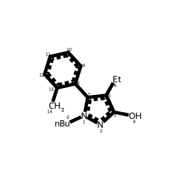 CCCCn1nc(O)c(CC)c1-c1ccccc1C